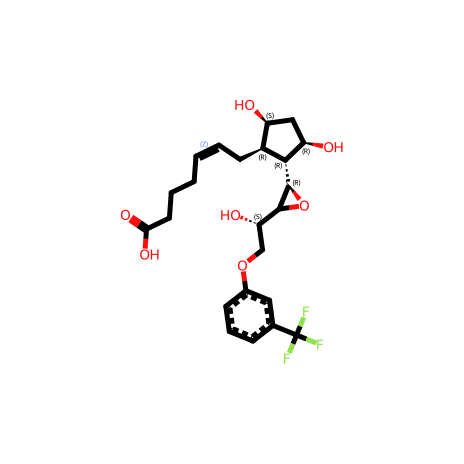 O=C(O)CCC/C=C\C[C@@H]1[C@@H]([C@H]2OC2[C@@H](O)COc2cccc(C(F)(F)F)c2)[C@H](O)C[C@@H]1O